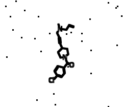 C=CCN(C)CC#CC1CCN(C(=O)c2ccc(Cl)cc2)CC1